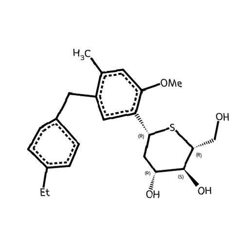 CCc1ccc(Cc2cc([C@H]3C[C@@H](O)[C@H](O)[C@@H](CO)S3)c(OC)cc2C)cc1